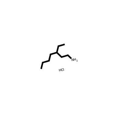 CCCCC(CC)CCN.Cl